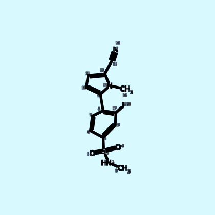 CNS(=O)(=O)c1ccc(-c2ccc(C#N)n2C)c(F)c1